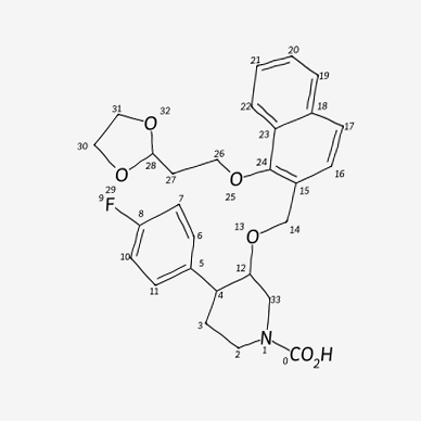 O=C(O)N1CCC(c2ccc(F)cc2)C(OCc2ccc3ccccc3c2OCCC2OCCO2)C1